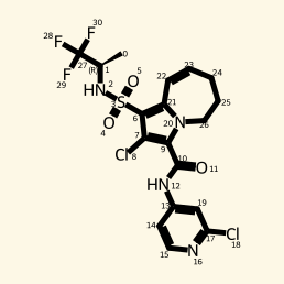 C[C@@H](NS(=O)(=O)c1c(Cl)c(C(=O)Nc2ccnc(Cl)c2)n2c1C=CCCC2)C(F)(F)F